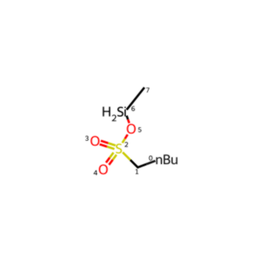 CCCCCS(=O)(=O)O[SiH2]C